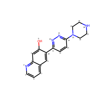 Oc1cc2ncccc2cc1-c1ccc(N2CCNCC2)nn1